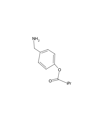 CC(C)C(=O)Oc1ccc(CN)cc1